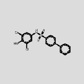 O=S(=O)(Nc1cc(Cl)c(O)c(Cl)c1)c1ccc(-c2ccccc2)cc1